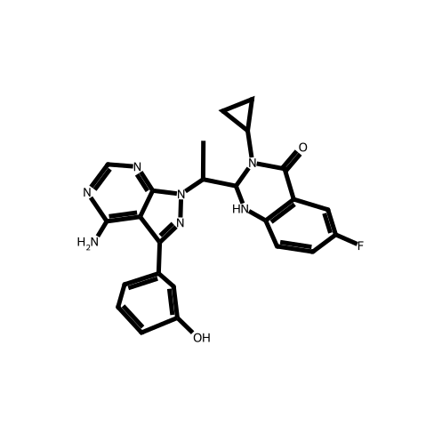 CC(C1Nc2ccc(F)cc2C(=O)N1C1CC1)n1nc(-c2cccc(O)c2)c2c(N)ncnc21